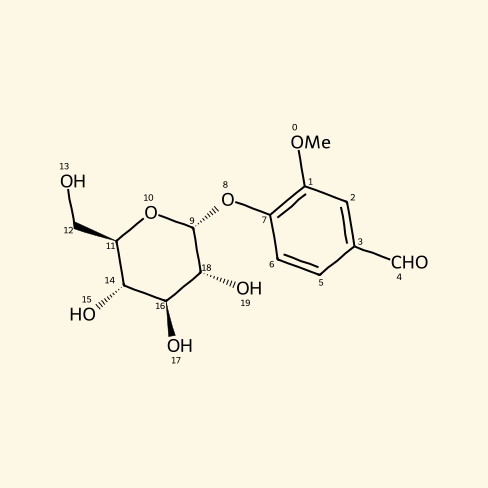 COc1cc(C=O)ccc1O[C@H]1O[C@H](CO)[C@@H](O)[C@H](O)[C@H]1O